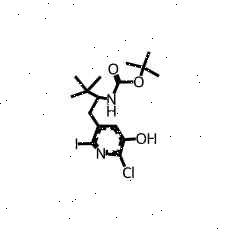 CC(C)(C)OC(=O)NC(Cc1cc(O)c(Cl)nc1I)C(C)(C)C